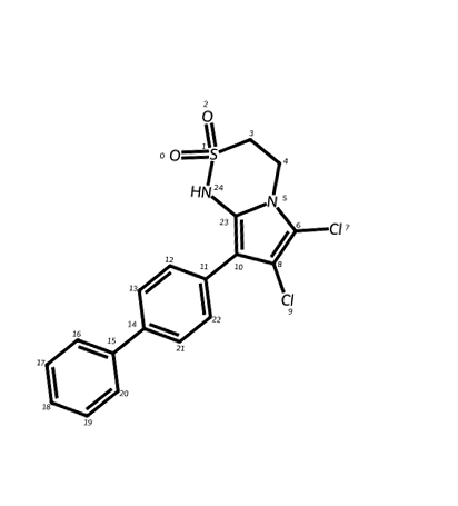 O=S1(=O)CCn2c(Cl)c(Cl)c(-c3ccc(-c4ccccc4)cc3)c2N1